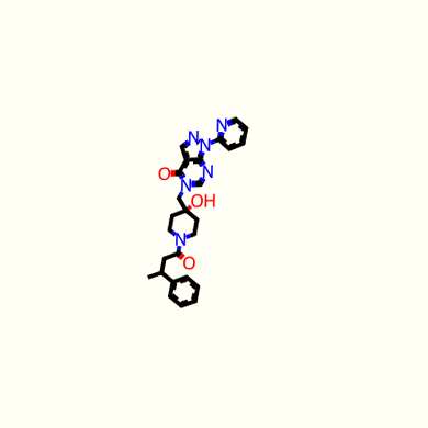 CC(CC(=O)N1CCC(O)(Cn2cnc3c(cnn3-c3ccccn3)c2=O)CC1)c1ccccc1